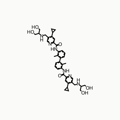 Cc1c(NC(=O)c2cc(C3CC3)c(CNC(CO)CO)cn2)cccc1-c1cccc(NC(=O)c2cc(C3CC3)c(CNC(CO)CO)cn2)c1C